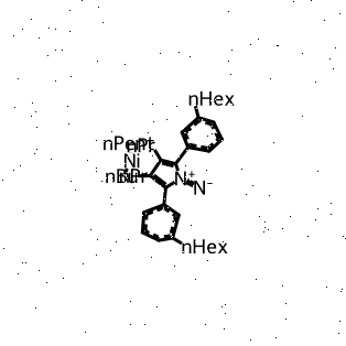 CCCCCCc1cccc(C2=C(CCCC)C(CCCCC)=C(c3cccc(CCCCCC)c3)[N+]2=[N-])c1.CC[CH2][Ni][CH2]CC